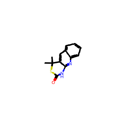 CC1(C)SC(=O)Nc2nc3c[c]ccc3cc21